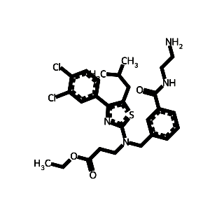 CCOC(=O)CCN(Cc1cccc(C(=O)NCCN)c1)c1nc(-c2ccc(Cl)c(Cl)c2)c(CC(C)C)s1